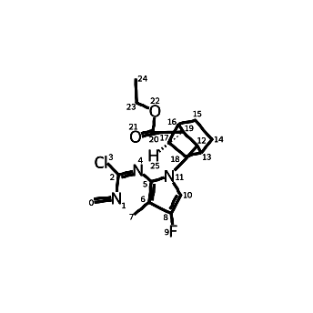 C=N/C(Cl)=N\c1c(C)c(F)cn1C1C2CCC(CC2)[C@@H]1C(=O)OCC